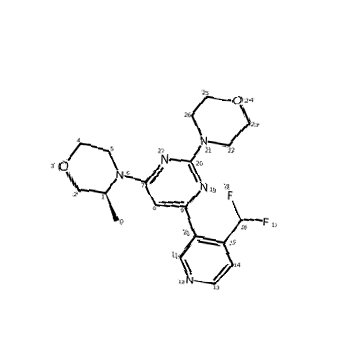 C[C@H]1COCCN1c1cc(-c2cnccc2C(F)F)nc(N2CCOCC2)n1